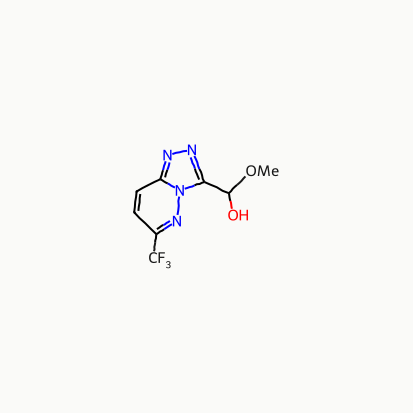 COC(O)c1nnc2ccc(C(F)(F)F)nn12